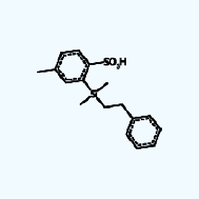 Cc1ccc(S(=O)(=O)O)c([Si](C)(C)CCc2ccccc2)c1